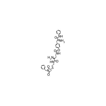 N[C@@H](CCNC(=O)Oc1ccc(C[C@H](N)C(=O)Nc2ccccc2)cc1)C(=O)NCCSC1CC(=O)N(Cc2ccccc2)C1=O